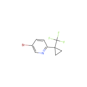 FC(F)(F)C1(c2ccc(Br)cn2)CC1